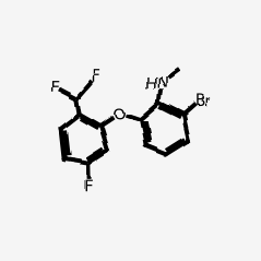 CNc1c(Br)cccc1Oc1cc(F)ccc1C(F)F